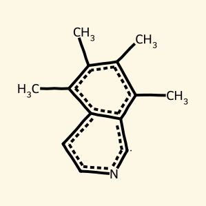 Cc1c(C)c(C)c2ccn[c]c2c1C